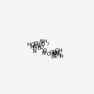 CC(C)(C)[C@]1(C(=O)N2CCC[C@@]2(C(N)=O)c2ccc(-c3ncc(-c4ccc([C@]5(C(N)=O)CCCN5C(=O)[C@@H]5C[C@@H]6C[C@@H]6N5C(=O)O)cc4)o3)cc2)C[C@@H]2C[C@]2(C(C)(C)C)N1C(=O)O